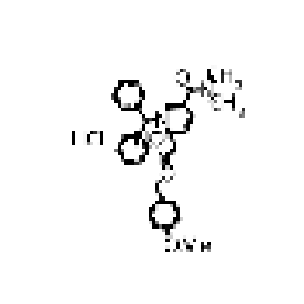 COc1ccc(CON=CC2(O)C=CC(C(=O)N(C)C)=CN2C(c2ccccc2)c2ccccc2)cc1.Cl